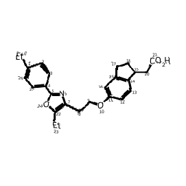 CCc1ccc(-c2nc(CCOc3ccc4c(c3)CCC4CC(=O)O)c(CC)o2)cc1